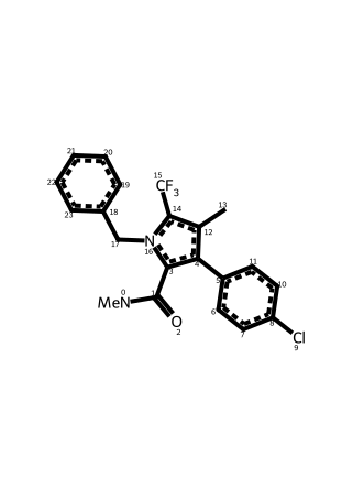 CNC(=O)c1c(-c2ccc(Cl)cc2)c(C)c(C(F)(F)F)n1Cc1ccccc1